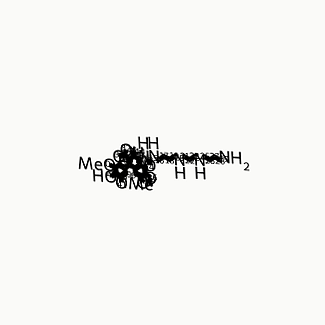 COc1cc(C2c3cc4c(cc3[C@@H](NC(=O)NCCCCNCCCNCCCCN)[C@H]3COC(=O)[C@H]23)OCO4)cc(OC)c1O